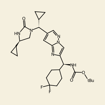 CC(C)(C)OC(=O)N[C@H](c1cn2ncc([C@@H](C3CC3)N3C[C@@H](C4CC4)NC3=O)cc2n1)C1CCC(F)(F)CC1